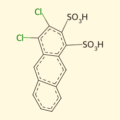 O=S(=O)(O)c1c(Cl)c(Cl)c2cc3ccccc3cc2c1S(=O)(=O)O